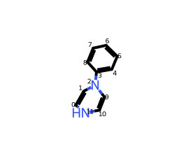 C1=CN(c2ccccc2)C=CN1